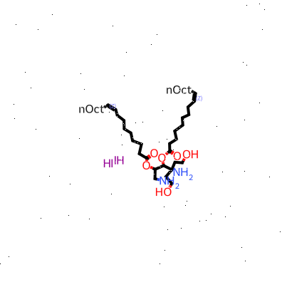 CCCCCCCC/C=C\CCCCCCCC(=O)OC(CN)C(OC(=O)CCCCCCC/C=C\CCCCCCCC)C(N)(CCO)CCO.I.I